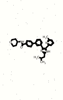 Cc1cccc(-c2[nH]c(CC(C)C)nc2-c2cccc(-c3ccc(C(=O)NC4CCOCC4)cc3)c2)n1